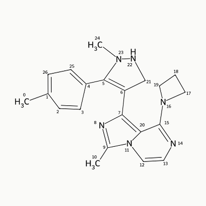 Cc1ccc(C2=C(c3nc(C)n4ccnc(N5CCC5)c34)CNN2C)cc1